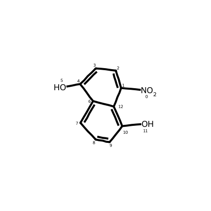 O=[N+]([O-])c1ccc(O)c2cccc(O)c12